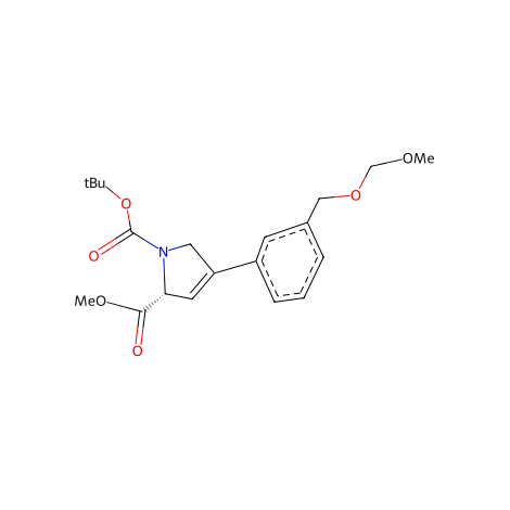 COCOCc1cccc(C2=C[C@H](C(=O)OC)N(C(=O)OC(C)(C)C)C2)c1